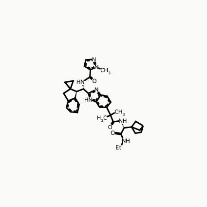 CCNC(=O)[C@H](NC(=O)C(C)(C)c1ccc2nc([C@@H](NC(=O)c3ccnn3C)[C@H]3c4ccccc4CC34CC4)[nH]c2c1)C12CCC(C1)C2